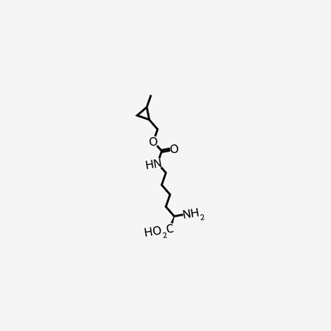 CC1CC1COC(=O)NCCCC[C@@H](N)C(=O)O